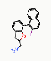 NCC1Cc2cccc(-c3c(I)ccc4ccccc34)c2O1